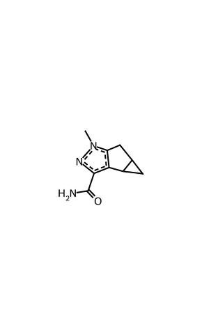 Cn1nc(C(N)=O)c2c1CC1CC21